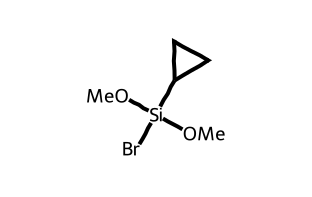 CO[Si](Br)(OC)C1CC1